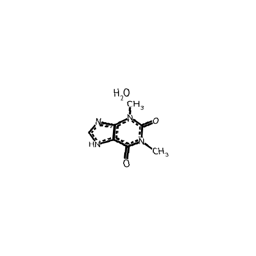 Cn1c(=O)c2[nH]cnc2n(C)c1=O.O